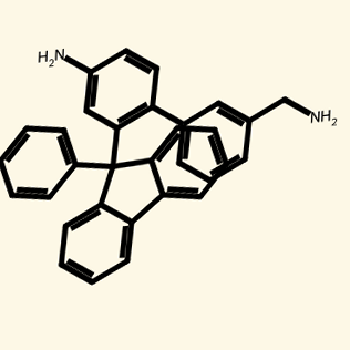 NCc1cccc(-c2ccc(N)cc2C2(c3ccccc3)c3ccccc3-c3ccccc32)c1